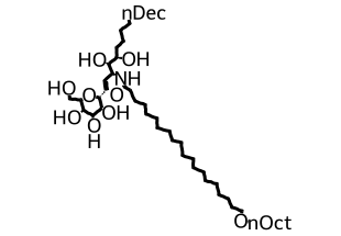 CCCCCCCCCCCCCC[C@@H](O)[C@@H](O)[C@H](/C=C/[C@H]1OC(CO)[C@H](O)[C@H](O)C1O)NC(=O)CCCCCCCCCCCCCCCCCCCOCCCCCCCC